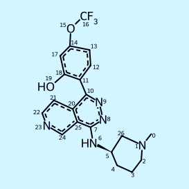 CN1CCC[C@@H](Nc2nnc(-c3ccc(OC(F)(F)F)cc3O)c3ccncc23)C1